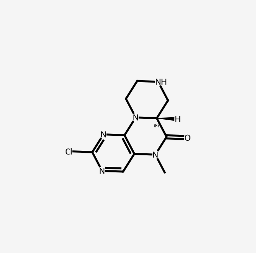 CN1C(=O)[C@H]2CNCCN2c2nc(Cl)ncc21